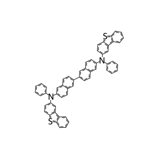 c1ccc(N(c2ccc3cc(-c4ccc5cc(N(c6ccccc6)c6ccc7sc8ccccc8c7c6)ccc5c4)ccc3c2)c2ccc3sc4ccccc4c3c2)cc1